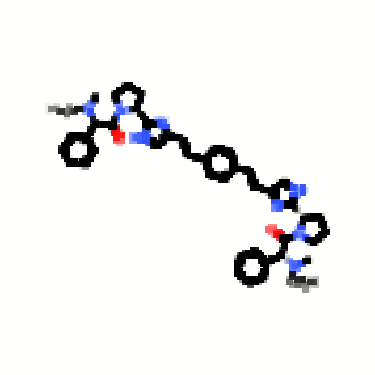 CN(C(=O)O)[C@@H](C(=O)N1CCC[C@H]1c1nc(C=Cc2ccc(C=Cc3c[nH]c([C@@H]4CCCN4C(=O)[C@@H](c4ccccc4)N(C)C(=O)O)n3)cc2)c[nH]1)c1ccccc1